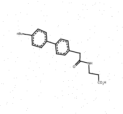 CCCCc1ccc(-c2ccc(CC(=O)NCCC(=O)O)cc2)cc1